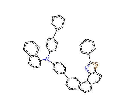 c1ccc(-c2ccc(N(c3ccc(-c4ccc5ccc6ccc7sc(-c8ccccc8)nc7c6c5c4)cc3)c3cccc4ccccc34)cc2)cc1